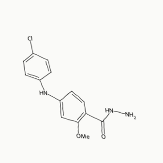 COc1cc(Nc2ccc(Cl)cc2)ccc1C(=O)NN